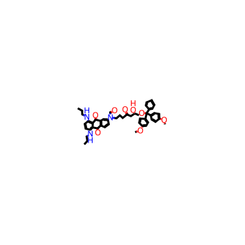 CCCNc1ccc(NCCC)c2c1C(=O)c1ccc(N(C=O)CCCC(=O)CC(O)COC(c3ccccc3)(c3ccc(OC)cc3)c3ccc(OC)cc3)cc1C2=O